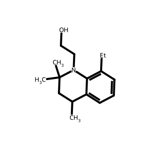 CCc1cccc2c1N(CCO)C(C)(C)CC2C